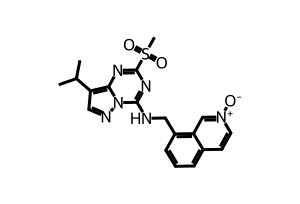 CC(C)c1cnn2c(NCc3cccc4cc[n+]([O-])cc34)nc(S(C)(=O)=O)nc12